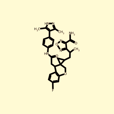 Cc1n[nH]c(C)c1-c1ccc(NC(=O)CC2c3ccc(F)cc3OCC23CC3CC(C)c2nonc2C(N)=O)cc1